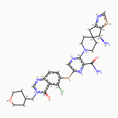 NC(=O)c1nc(Sc2ccc3ncn(CC4CCOCC4)c(=O)c3c2Cl)cnc1N1CCC2(CC1)Cc1ncsc1[C@H]2N